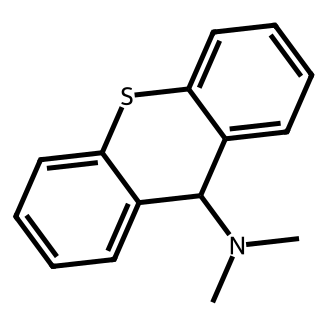 CN(C)C1c2ccccc2Sc2ccccc21